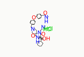 CNC(=O)c1ccc(Oc2ccc(CN3CCC4(CC3)C(=O)N[C@H]([C@H](O)C3CCCCC3)C(=O)N4CCN(C)C)cc2)cc1.Cl.Cl